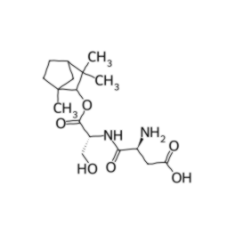 CC12CCC(C1)C(C)(C)C2OC(=O)[C@@H](CO)NC(=O)[C@@H](N)CC(=O)O